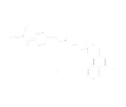 Cc1c2c(c3ccccc3c1O)OC(C)(CCOC(=O)/C=C/c1ccc(NC(=N)N)cc1)CC2.Cl